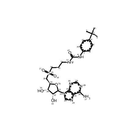 CC(C)(C)c1ccc(NC(=O)NCCCS(=O)(=O)C[C@H]2OC(n3cnc4c(N)ncnc43)[C@H](O)[C@@H]2O)cc1